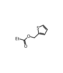 CCC(=O)OCc1cccs1